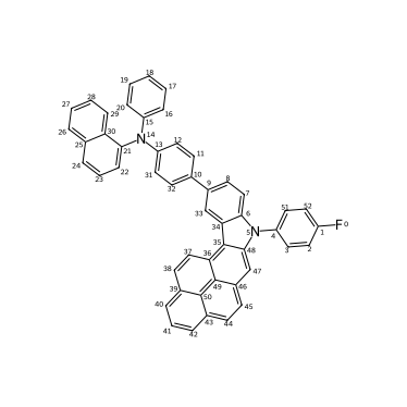 Fc1ccc(-n2c3ccc(-c4ccc(N(c5ccccc5)c5cccc6ccccc56)cc4)cc3c3c4ccc5cccc6ccc(cc32)c4c65)cc1